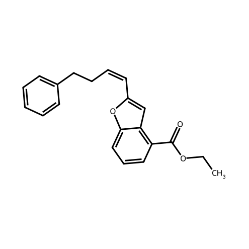 CCOC(=O)c1cccc2oc(/C=C\CCc3ccccc3)cc12